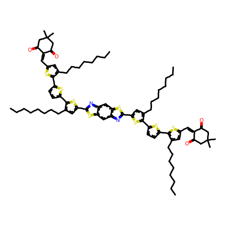 CCCCCCCCc1cc(C=C2C(=O)CC(C)(C)CC2=O)sc1-c1ccc(-c2sc(-c3nc4cc5sc(-c6cc(CCCCCCCC)c(-c7ccc(-c8sc(C=C9C(=O)CC(C)(C)CC9=O)cc8CCCCCCCC)s7)s6)nc5cc4s3)cc2CCCCCCCC)s1